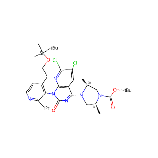 CC(C)c1nccc(CCO[Si](C)(C)C(C)(C)C)c1-n1c(=O)nc(N2C[C@H](C)N(C(=O)OC(C)(C)C)C[C@@H]2C)c2cc(Cl)c(Cl)nc21